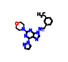 Cc1cccc(/C=N/n2cnc3c(-n4cccn4)nc(N4CCOCC4)nc32)c1